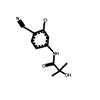 CC(C)(O)C(=O)Nc1ccc(C#N)c(Cl)c1